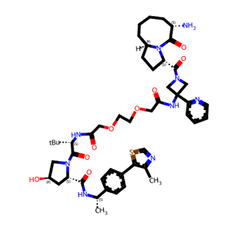 Cc1ncsc1-c1ccc([C@H](C)NC(=O)[C@@H]2C[C@@H](O)CN2C(=O)[C@@H](NC(=O)COCCOCC(=O)NC2(c3ccccn3)CN(C(=O)[C@@H]3CC[C@H]4CCCC[C@H](N)C(=O)N43)C2)C(C)(C)C)cc1